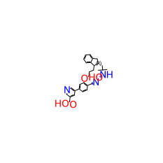 CC(C)(C[C@H]1Cc2ccccc2C1CCCOc1cc(-c2cncc(C(=O)O)c2)ccc1C#N)NO